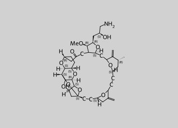 C=C1C[C@@H]2CC[C@@]34C[C@H]5OC6[C@@H](O[C@H]7CC[C@H](CC(=O)CC8[C@H](CC9O[C@@H](CCC1O2)C[C@@H](C)C9=C)O[C@H](C[C@H](O)CN)[C@@H]8OC)O[C@@H]7[C@@H]6O3)[C@H]5O4